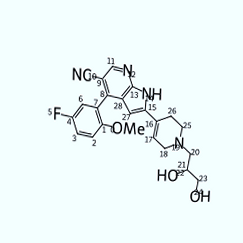 COc1ccc(F)cc1-c1c(C#N)cnc2[nH]c(C3=CCN(CC(O)CO)CC3)cc12